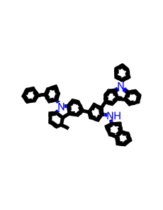 CC1C=CC=C2C1c1cc(-c3ccc(Nc4ccc5ccccc5c4)c(-c4ccc5c(c4)c4ccccc4n5-c4ccccc4)c3)ccc1N2c1cccc(-c2ccccc2)c1